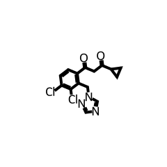 O=C(CC(=O)C1CC1)c1ccc(Cl)c(Cl)c1Cn1cncn1